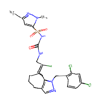 Cc1cc(S(=O)(=O)NC(=O)NCC(F)=C2CCCc3cnn(Cc4ccc(Cl)cc4Cl)c32)n(C)n1